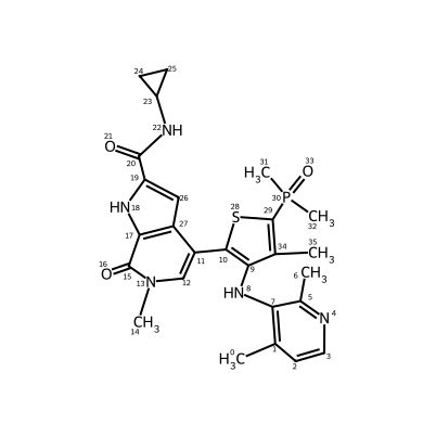 Cc1ccnc(C)c1Nc1c(-c2cn(C)c(=O)c3[nH]c(C(=O)NC4CC4)cc23)sc(P(C)(C)=O)c1C